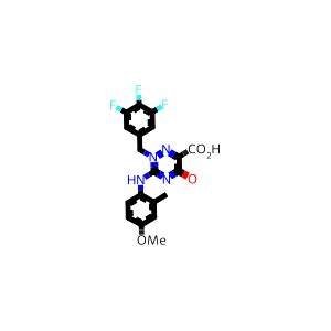 COc1ccc(Nc2nc(=O)c(C(=O)O)nn2Cc2cc(F)c(F)c(F)c2)c(C)c1